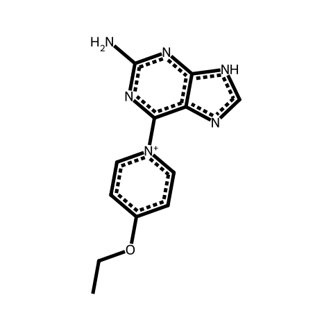 CCOc1cc[n+](-c2nc(N)nc3[nH]cnc23)cc1